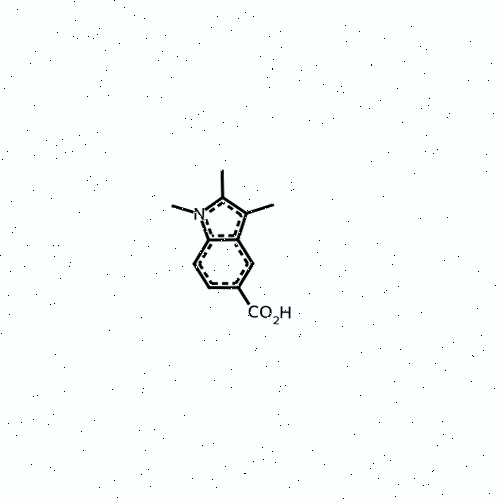 Cc1c(C)n(C)c2ccc(C(=O)O)cc12